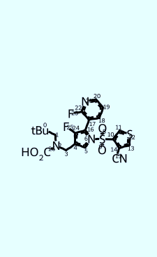 CC(C)(C)CN(Cc1cn(S(=O)(=O)c2cscc2C#N)c(-c2cccnc2F)c1F)C(=O)O